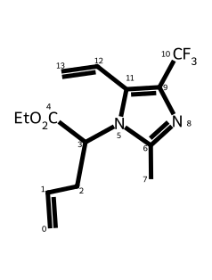 C=CCC(C(=O)OCC)n1c(C)nc(C(F)(F)F)c1C=C